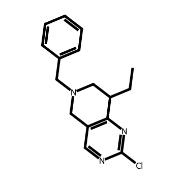 CCC1CN(Cc2ccccc2)Cc2cnc(Cl)nc21